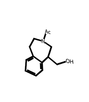 CC(=O)N1CCc2ccccc2C(CO)C1